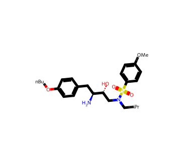 CCCCOc1ccc(C[C@H](N)[C@H](O)CN(CC(C)C)S(=O)(=O)c2ccc(OC)cc2)cc1